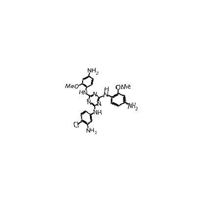 COc1cc(N)ccc1Nc1nc(Nc2ccc(Cl)c(N)c2)nc(Nc2ccc(N)cc2OC)n1